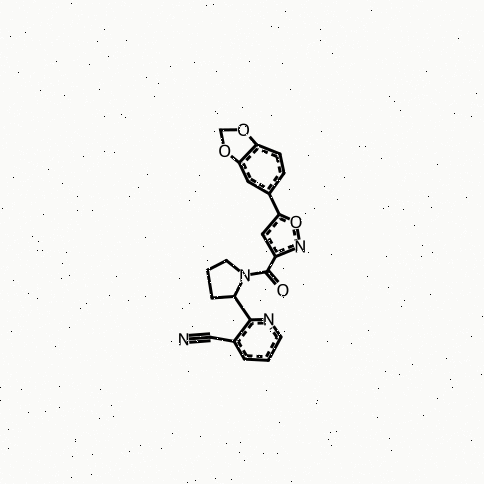 N#Cc1cccnc1C1CCCN1C(=O)c1cc(-c2ccc3c(c2)OCO3)on1